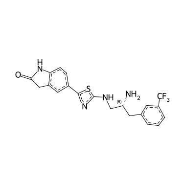 N[C@@H](CNc1ncc(-c2ccc3c(c2)CC(=O)N3)s1)Cc1cccc(C(F)(F)F)c1